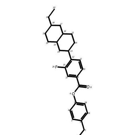 CCc1ccc(OC(=O)c2ccc(C3CCC4CC(CC)CCC4C3)c(F)c2)cc1